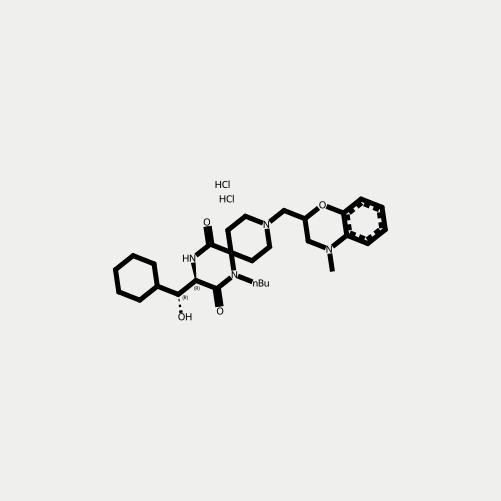 CCCCN1C(=O)[C@@H]([C@H](O)C2CCCCC2)NC(=O)C12CCN(CC1CN(C)c3ccccc3O1)CC2.Cl.Cl